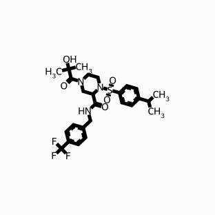 CC(C)c1ccc(S(=O)(=O)N2CCN(C(=O)C(C)(C)O)CC2C(=O)NCc2ccc(C(F)(F)F)cc2)cc1